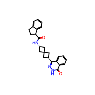 O=C(N[C@H]1CC2(C1)C[C@H](c1n[nH]c(=O)c3ccccc31)C2)C1CCc2ccccc21